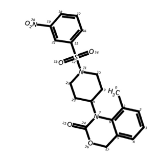 Cc1cccc2c1N(C1CCN(S(=O)(=O)c3cccc([N+](=O)[O-])c3)CC1)C(=O)OC2